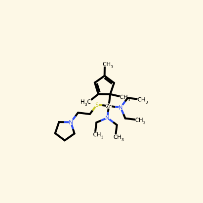 CC[N](CC)[Zr]([S]CCN1CCCC1)([N](CC)CC)[C]1(C)C=C(C)C=C1C